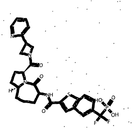 O=C(NC1CCC[C@H]2CC[C@@H](C(=O)N3CC(c4ccccn4)C3)N2C1=O)c1cc2cc(C(F)(F)P(=O)(O)O)ccc2s1